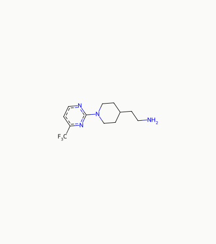 NCCC1CCN(c2nccc(C(F)(F)F)n2)CC1